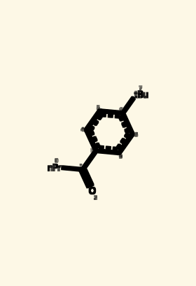 CCCC(=O)c1ccc(C(C)(C)C)cc1